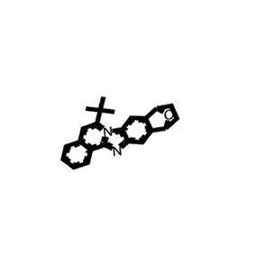 CC(C)(C)c1cc2ccccc2c2nc3cc4c(cc3n12)C1CCC4O1